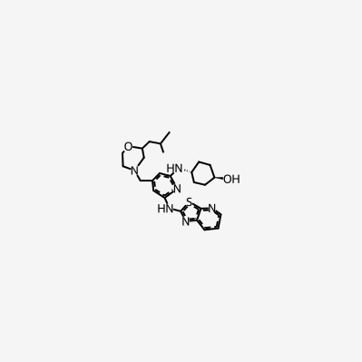 CC(C)CC1CN(Cc2cc(Nc3nc4cccnc4s3)nc(N[C@H]3CC[C@H](O)CC3)c2)CCO1